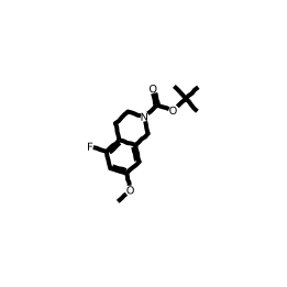 COc1cc(F)c2c(c1)CN(C(=O)OC(C)(C)C)CC2